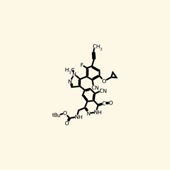 CC#Cc1cc(OC2CC2)c(C#N)c(-c2c(-c3cc(C#N)c4c(c3)C(CNC(=O)OC(C)(C)C)=NNC4=C=O)cnn2C)c1F